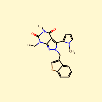 CC(C)Cn1c(=O)n(C)c(=O)c2c(-c3cccn3C)n(Cc3csc4ccccc34)nc21